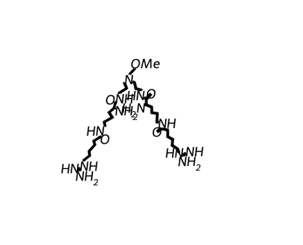 COCCN(CCCNC(=O)[C@@H](N)CCCCNC(=O)CCCCCNC(=N)N)CCCNC(=O)[C@@H](N)CCCCNC(=O)CCCCCNC(=N)N